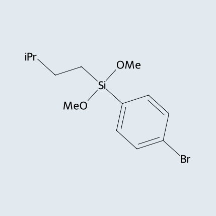 CO[Si](CCC(C)C)(OC)c1ccc(Br)cc1